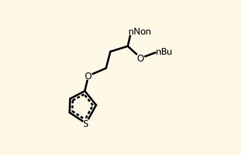 CCCCCCCCCC(CCOc1ccsc1)OCCCC